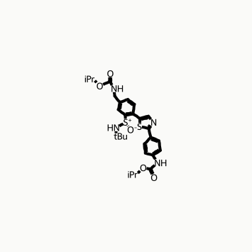 CC(C)OC(=O)NCc1ccc(-c2cnc(-c3ccc(NC(=O)OC(C)C)cc3)s2)c([S+]([O-])NC(C)(C)C)c1